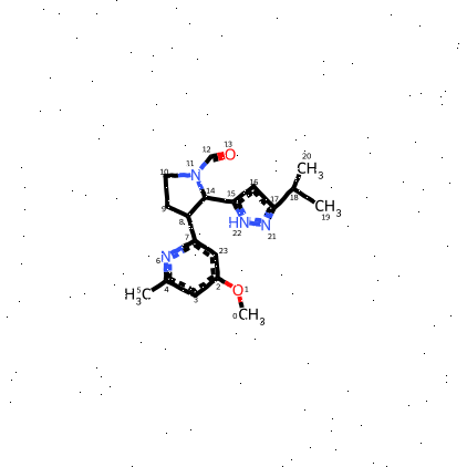 COc1cc(C)nc(C2CCN(C=O)C2c2cc(C(C)C)n[nH]2)c1